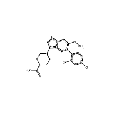 CC(=O)N1CCN(c2cnc3cc(CN)c(-c4ccc(Cl)cc4Cl)cn23)CC1